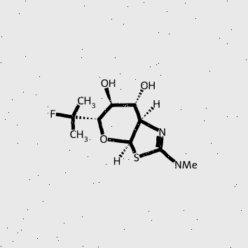 CNC1=N[C@@H]2[C@@H](O)[C@H](O)[C@@H](C(C)(C)F)O[C@@H]2S1